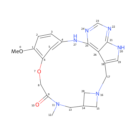 COc1ccc2cc1OCC(=O)N(C)CC1CN(Cc3c[nH]c4ncnc(c34)N2)C1